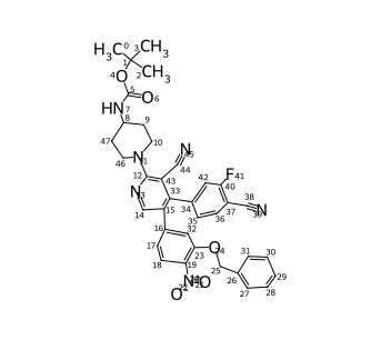 CC(C)(C)OC(=O)NC1CCN(c2ncc(-c3ccc([N+](=O)[O-])c(OCc4ccccc4)c3)c(-c3ccc(C#N)c(F)c3)c2C#N)CC1